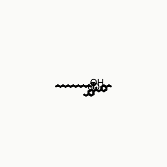 CCCCCCCCCCCCCCOP(O)OC(Cc1ccc(CC)cc1)c1ccc(CC)cc1